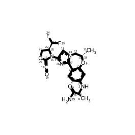 C[C@H](Nc1ccc2c(c1)O[C@@H](C)Cn1cc(N3C(=C=O)OC[C@H]3C(F)F)nc1-2)C(N)=O